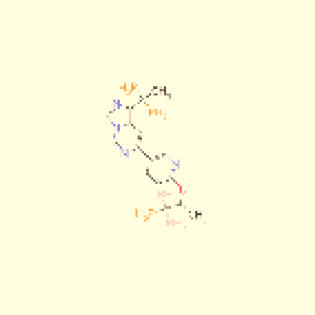 BC(B)(P)C(C)Oc1ccc(-c2cc3c(C(C)(P)P)ncn3cn2)cn1